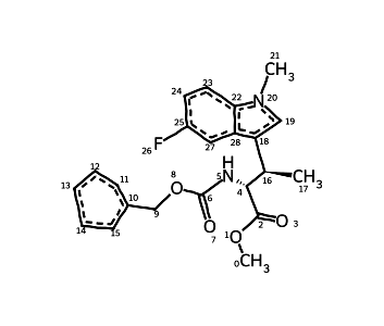 COC(=O)[C@H](NC(=O)OCc1ccccc1)[C@H](C)c1cn(C)c2ccc(F)cc12